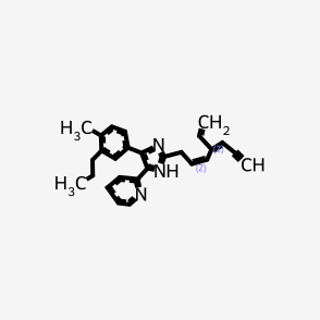 C#C/C=C(C=C)\C=C/Cc1nc(-c2ccc(C)c(CCC)c2)c(-c2ccccn2)[nH]1